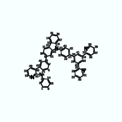 c1ccc(-n2c3ccc(-c4ccc5c6ccccc6n(-c6ccc(-c7cc(-c8ccccn8)cc(-c8ccccn8)c7)cc6)c5c4)cc3c3cccnc32)cc1